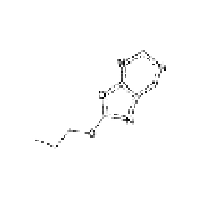 CCCOc1nc2cncnc2o1